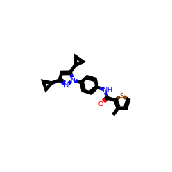 Cc1ccsc1C(=O)Nc1ccc(-n2nc(C3CC3)cc2C2CC2)cc1